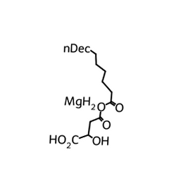 CCCCCCCCCCCCCCCC(=O)OC(=O)CC(O)C(=O)O.[MgH2]